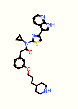 O=C(Cc1cccc(OCCCC2CCNCC2)c1)N(c1nc(-c2c[nH]c3ncccc23)cs1)C1CC1